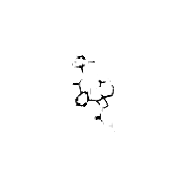 CC(Sc1nncn1C)c1cccc(C2N(C(N)=O)CC23CCOC(=O)N3)c1